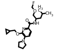 CC(C)CC(COCF)NC(=O)c1ccc(N2CCCC2)c(OCC2CC2)n1